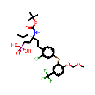 CCC[C@@](/C=C/P(=O)(O)O)(CCc1ccc(Sc2cc(C(F)(F)F)ccc2OCOC)cc1Cl)NC(=O)OC(C)(C)C